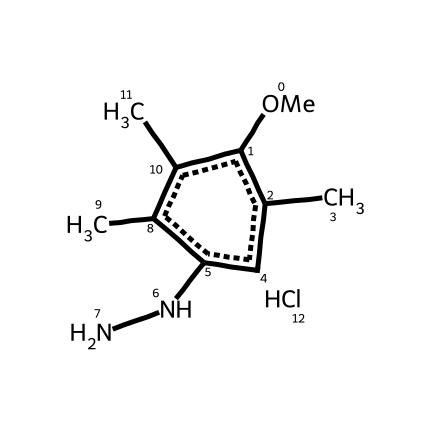 COc1c(C)cc(NN)c(C)c1C.Cl